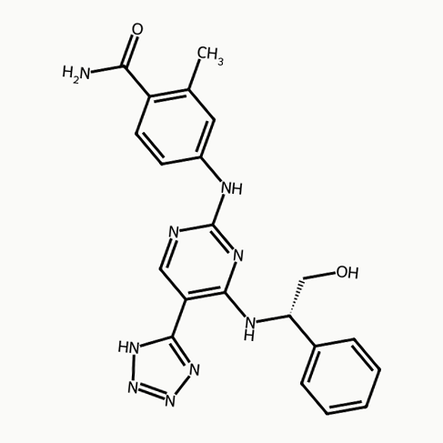 Cc1cc(Nc2ncc(-c3nnn[nH]3)c(N[C@H](CO)c3ccccc3)n2)ccc1C(N)=O